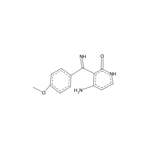 COc1ccc(C(=N)c2c(N)cc[nH]c2=O)cc1